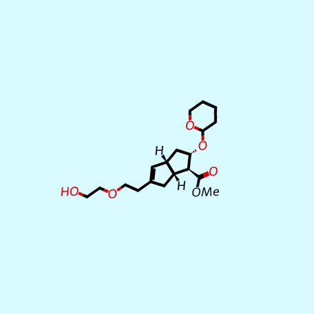 COC(=O)[C@H]1[C@@H]2CC(CCOCCO)=C[C@@H]2C[C@@H]1OC1CCCCO1